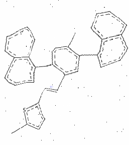 Cc1ccc(/C=C/c2cc(-c3cccc4ccccc34)c(C)cc2-c2cccc3ccccc23)s1